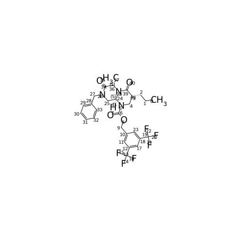 CCC[C@@H]1CN(C(=O)OCc2cc(C(F)(F)F)cc(C(F)(F)F)c2)[C@H]2CN(Cc3ccccc3)C(=O)[C@H](C)N2C1=O